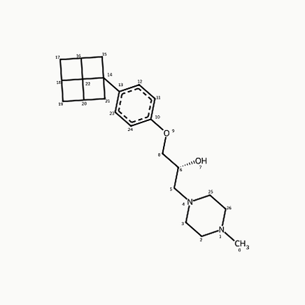 CN1CCN(C[C@@H](O)COc2ccc(C34CC5CC6CC(C3)C654)cc2)CC1